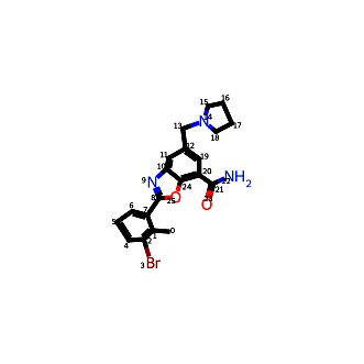 Cc1c(Br)cccc1-c1nc2cc(CN3CCCC3)cc(C(N)=O)c2o1